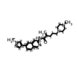 C=C(CCCN1CCN(C)CC1)C(=O)Nc1cc2cc(-c3cnn(C)c3)ccc2cn1